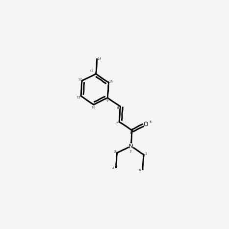 CCN(CC)C(=O)C=Cc1cccc(C)c1